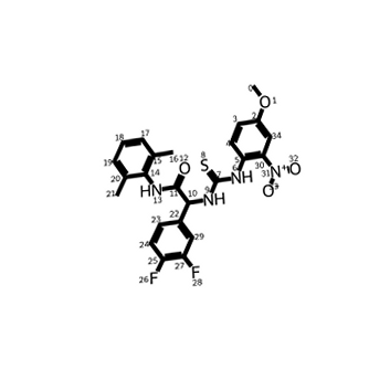 COc1ccc(NC(=S)NC(C(=O)Nc2c(C)cccc2C)c2ccc(F)c(F)c2)c([N+](=O)[O-])c1